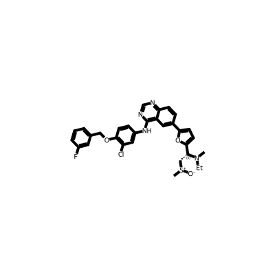 CCN(C)[C@H](C[S+](C)[O-])c1ccc(-c2ccc3ncnc(Nc4ccc(OCc5cccc(F)c5)c(Cl)c4)c3c2)o1